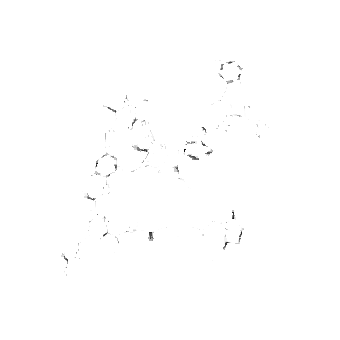 C=C1C=CC(=O)N1CCCCCC(=O)N[C@H](C(=O)N[C@@H](CCCNC(N)=O)C(=O)Nc1ccc(COC(=O)N(C)[C@H](C(=O)N[C@H](C(=O)N(CCC)[C@H](C[C@@H](OCCC)c2nc(C(=O)N[C@@H](Cc3ccccc3)C[C@H](C)C(=O)O)cs2)C(C)C)[C@@H](C)CC)C(C)CC)cc1)C(C)C